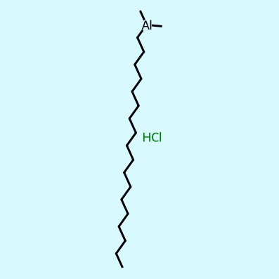 CCCCCCCCCCCCCCCCC[CH2][Al]([CH3])[CH3].Cl